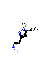 Cn1nc(/C=C/N)cc1C(F)(F)F